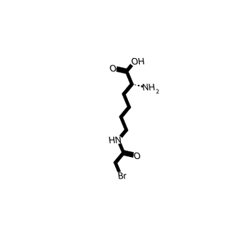 N[C@H](CCCCNC(=O)CBr)C(=O)O